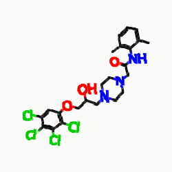 Cc1cccc(C)c1NC(=O)CN1CCN(CC(O)COc2cc(Cl)c(Cl)c(Cl)c2Cl)CC1